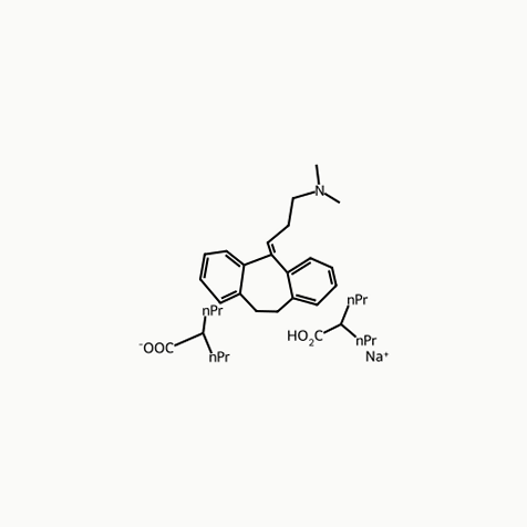 CCCC(CCC)C(=O)O.CCCC(CCC)C(=O)[O-].CN(C)CCC=C1c2ccccc2CCc2ccccc21.[Na+]